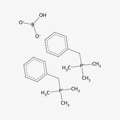 C[P+](C)(C)Cc1ccccc1.C[P+](C)(C)Cc1ccccc1.[O-]B([O-])O